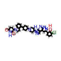 Nc1nnc(-c2cccc(Cl)c2O)cc1-c1cnn(C2CCN(C3CCC(c4cccc5c4CCN5C4CCC(=O)NC4=O)CC3)CC2)c1